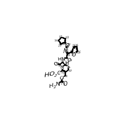 NC(=O)OCC1=C(C(=O)O)N2C(=O)[C@@H](NC(=O)C(=NOC3CCCC3)c3ccco3)[C@H]2SC1